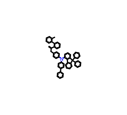 C=C(Cc1ccc(N(c2ccc(-c3ccccc3)cc2)c2cccc3c2-c2ccccc2C3(c2ccccc2)c2ccccc2)cc1)c1ccccc1-c1ccccc1C